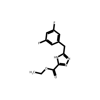 CCOC(=O)c1nnc(Cc2cc(F)cc(F)c2)[nH]1